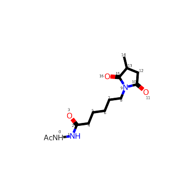 CC(=O)NNC(=O)CCCCCN1C(=O)CC(C)C1=O